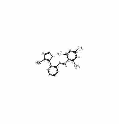 CC1=C(c2ccccc2C=Nc2c(C)cc(C)cc2C)CC=C1